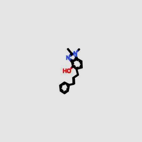 Cc1nc2c(O)c(CC=Cc3ccccc3)ccc2n1C